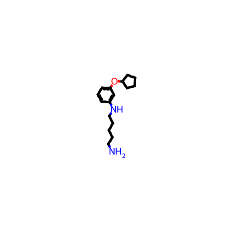 NCCCCCNc1cccc(OC2CCCC2)c1